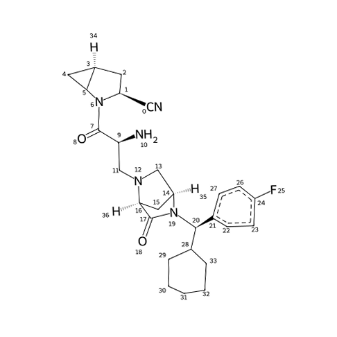 N#C[C@@H]1C[C@@H]2CC2N1C(=O)[C@@H](N)CN1C[C@@H]2C[C@H]1C(=O)N2[C@@H](c1ccc(F)cc1)C1CCCCC1